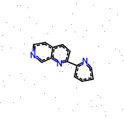 c1ccc(-c2ccc3ccncc3n2)nc1